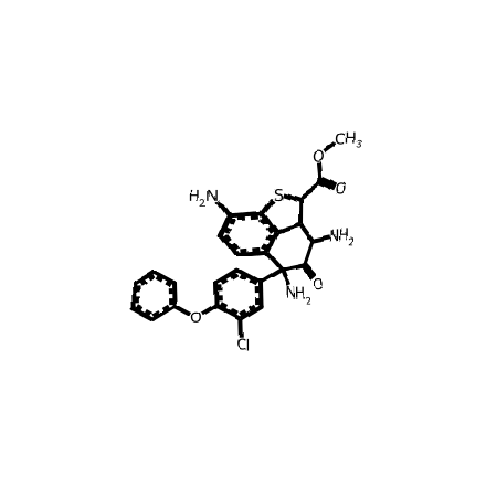 COC(=O)C1Sc2c(N)ccc3c2C1C(N)C(=O)C3(N)c1ccc(Oc2ccccc2)c(Cl)c1